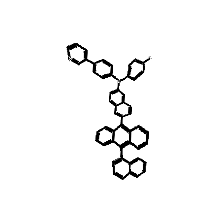 Fc1ccc(N(c2ccc(-c3cccnc3)cc2)c2ccc3cc(-c4c5ccccc5c(-c5cccc6ccccc56)c5ccccc45)ccc3c2)cc1